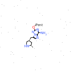 CCC[C@H](C)Oc1nc(N)c2ncc(C[C@@H]3CCN[C@H](C)C3)n2n1